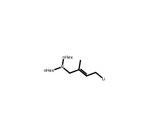 [Li][CH2]/C=C(\C)CN(CCCCCC)CCCCCC